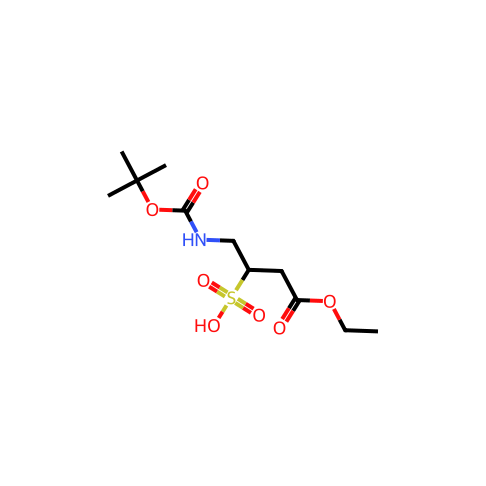 CCOC(=O)CC(CNC(=O)OC(C)(C)C)S(=O)(=O)O